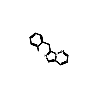 Fc1ccccc1Cc1ncc2cccnn12